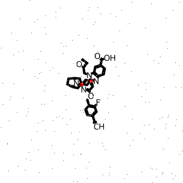 C#Cc1ccc(COc2cccc(N3C4CCC3CC(Cc3nc5ccc(C(=O)O)cc5n3CC3CCO3)C4)n2)c(F)c1